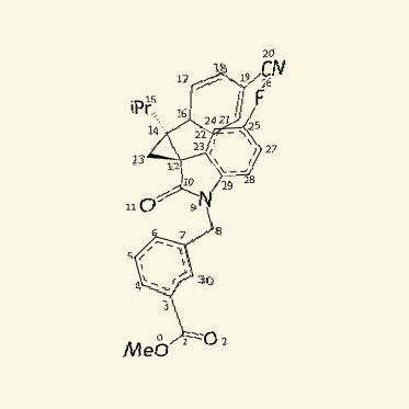 COC(=O)c1cccc(CN2C(=O)[C@@]3(C[C@@]3(C(C)C)C3C=CC(C#N)=CC3)c3cc(F)ccc32)c1